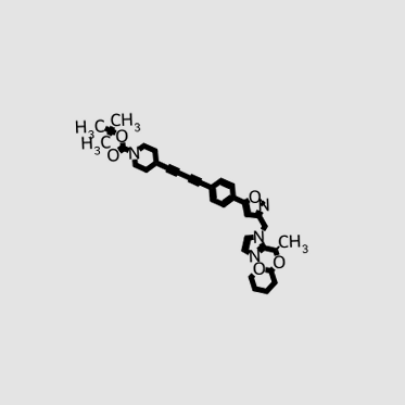 C[C@H](OC1CCCCO1)c1nccn1Cc1cc(-c2ccc(C#CC#CC3CCN(C(=O)OC(C)(C)C)CC3)cc2)on1